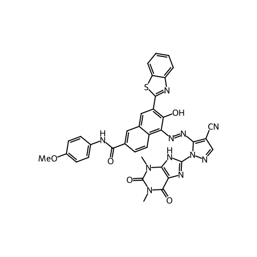 COc1ccc(NC(=O)c2ccc3c(/N=N/c4c(C#N)cnn4-c4nc5c(=O)n(C)c(=O)n(C)c5[nH]4)c(O)c(-c4nc5ccccc5s4)cc3c2)cc1